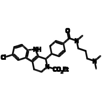 CCOC(=O)N1CCc2c([nH]c3ccc(Cl)cc23)C1C1C=CC(C(=O)N(C)CCCN(C)C)=CC1